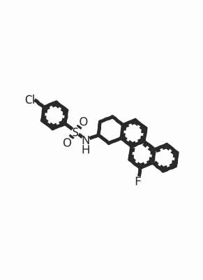 O=S(=O)(NC1CCc2ccc3c(cc(F)c4ccccc43)c2C1)c1ccc(Cl)cc1